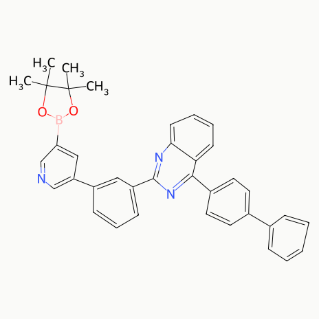 CC1(C)OB(c2cncc(-c3cccc(-c4nc(-c5ccc(-c6ccccc6)cc5)c5ccccc5n4)c3)c2)OC1(C)C